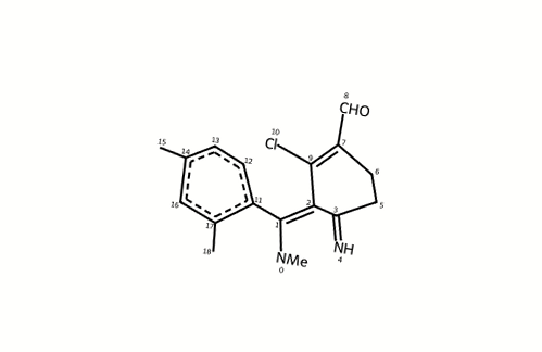 CN/C(=C1\C(=N)CCC(C=O)=C1Cl)c1ccc(C)cc1C